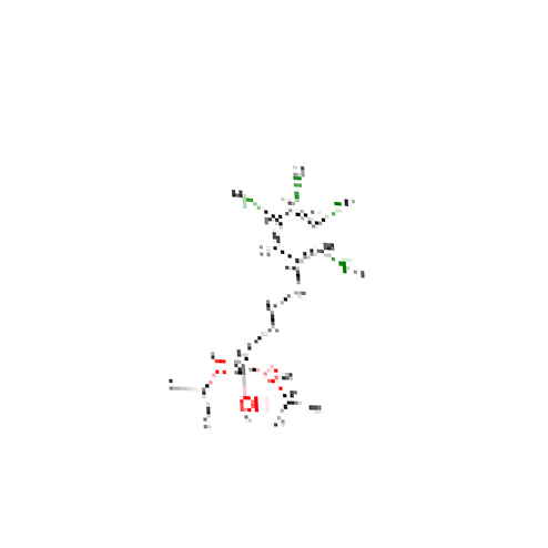 CC(C)O[Si](O)(CCCCc1cc(F)c(F)c(F)c1F)OC(C)C